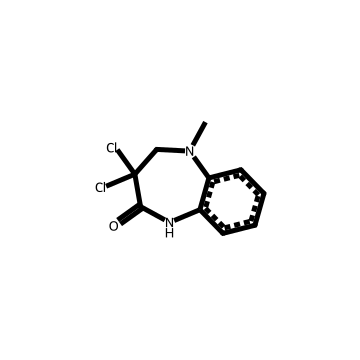 CN1CC(Cl)(Cl)C(=O)Nc2ccccc21